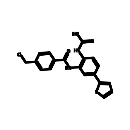 O=C(O)Nc1ccc(-c2cccs2)cc1NC(=O)c1ccc(CCl)cc1